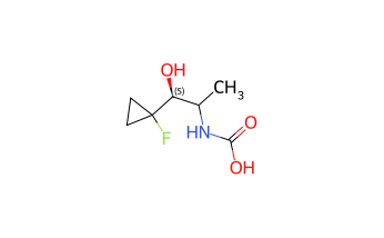 CC(NC(=O)O)[C@H](O)C1(F)CC1